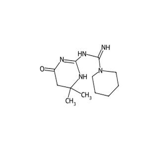 CC1(C)CC(=O)N=C(NC(=N)N2CCCCC2)N1